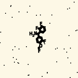 NC(c1ccc(OCF)c(F)c1)c1cccc(F)c1F